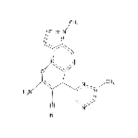 Cc1cncc(C2C(C#N)=C(N)Oc3c2ccc2c3ccn2C)n1